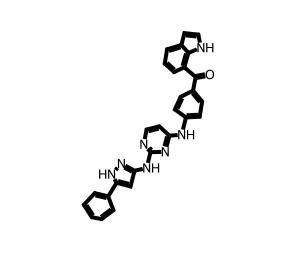 O=C(c1ccc(Nc2ccnc(Nc3cc(-c4ccccc4)[nH]n3)n2)cc1)c1cccc2cc[nH]c12